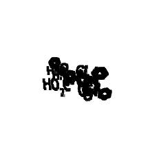 CN1[C@H](C2CCCCC2)CN(c2ccccc2)c2cc(Cl)c(-c3ccc(NC(=O)Nc4ccccc4)c(C(=O)O)c3)cc2S1(=O)=O